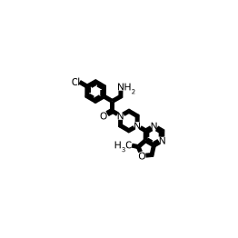 CC1OCc2ncnc(N3CCN(C(=O)C(CN)c4ccc(Cl)cc4)CC3)c21